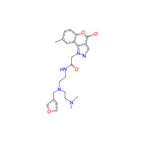 Cc1ccc2oc(=O)c3cnn(CC(=O)NCCN(CCN(C)C)Cc4ccoc4)c3c2c1